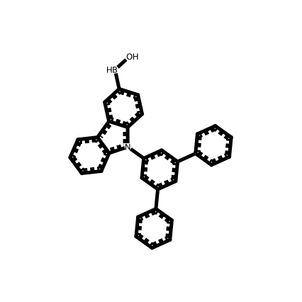 OBc1ccc2c(c1)c1ccccc1n2-c1cc(-c2ccccc2)cc(-c2ccccc2)c1